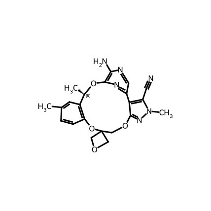 Cc1ccc2c(c1)[C@@H](C)Oc1nc(cnc1N)-c1c(nn(C)c1C#N)OCC1(COC1)O2